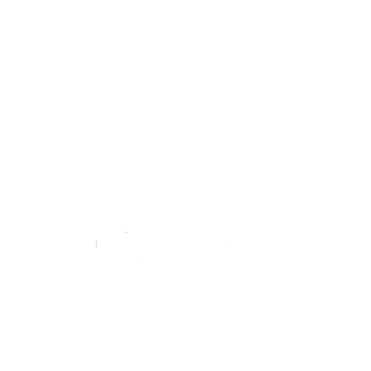 Cc1cccc(Sc2ccc(C(F)(F)F)cc2C(=O)O)c1